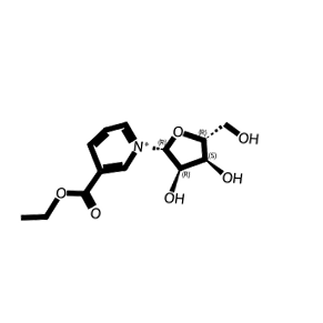 CCOC(=O)c1ccc[n+]([C@@H]2O[C@H](CO)[C@@H](O)[C@H]2O)c1